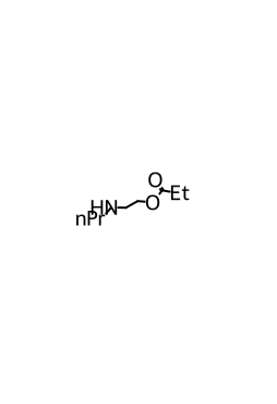 CCCNCCOC(=O)CC